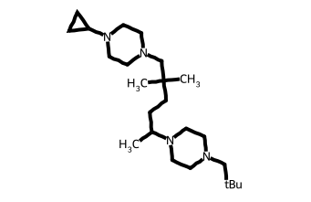 CC(CCC(C)(C)CN1CCN(C2CC2)CC1)N1CCN(CC(C)(C)C)CC1